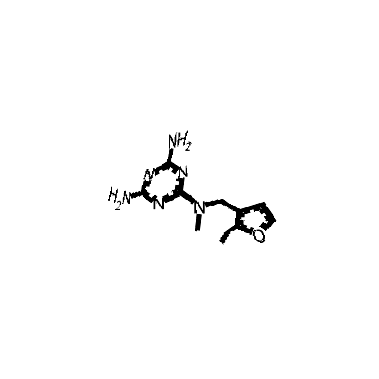 Cc1occc1CN(C)c1nc(N)nc(N)n1